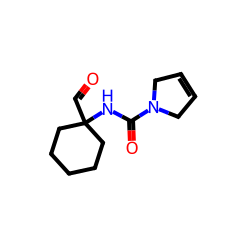 O=CC1(NC(=O)N2CC=CC2)CCCCC1